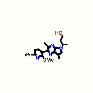 COc1nc(C(C)C)ccc1-c1nc2c(C)cn([C@H](C)CCO)c2nc1C